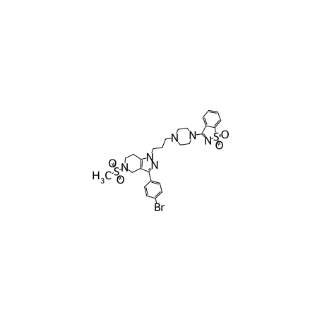 CS(=O)(=O)N1CCc2c(c(-c3ccc(Br)cc3)nn2CCCN2CCN(C3=NS(=O)(=O)c4ccccc43)CC2)C1